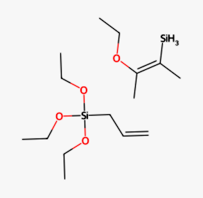 C=CC[Si](OCC)(OCC)OCC.CCOC(C)=C(C)[SiH3]